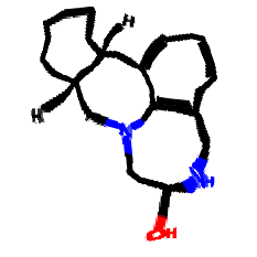 OC1CN2C[C@@H]3CCC[C@@H]3c3cccc(c32)CN1